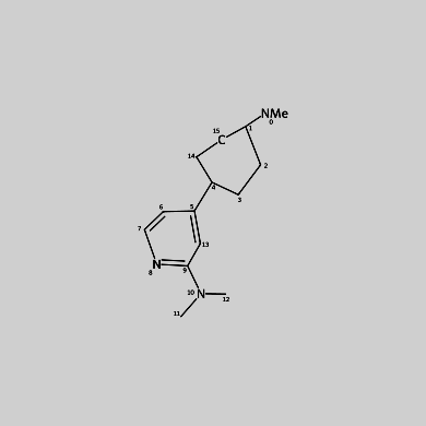 CNC1CCC(c2ccnc(N(C)C)c2)CC1